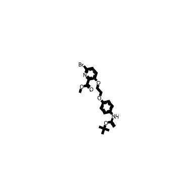 C=C(Nc1ccc(OCCOc2ccc(Br)nc2C(=O)OC)cc1)OC(C)(C)C